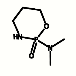 CN(C)P1(=O)NCCCO1